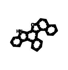 c1ccc2c(c1)ccc1oc3c4[nH]c5ccccc5c4c4ccccc4c3c12